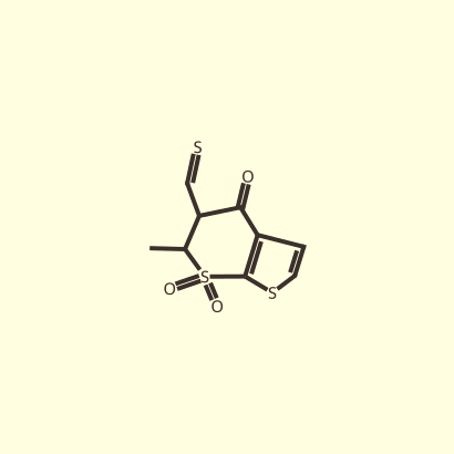 CC1C(C=S)C(=O)c2ccsc2S1(=O)=O